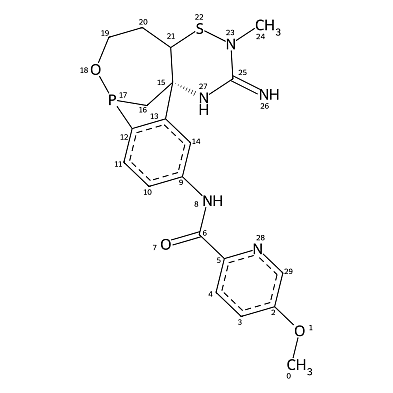 COc1ccc(C(=O)Nc2ccc3c(c2)[C@@]24CP3OCCC2SN(C)C(=N)N4)nc1